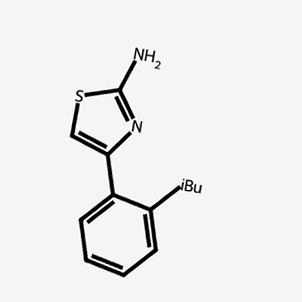 CCC(C)c1ccccc1-c1csc(N)n1